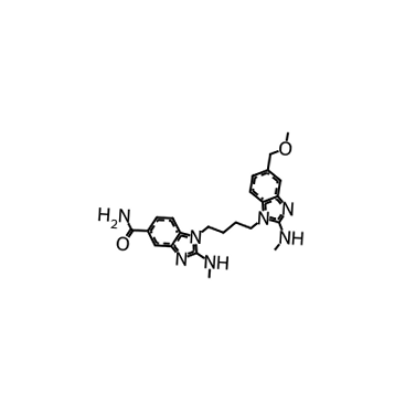 CNc1nc2cc(COC)ccc2n1CCCCn1c(NC)nc2cc(C(N)=O)ccc21